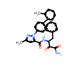 Cc1cc(C(=O)NC(Cc2ccccc2)C(=O)C(N)=O)n(-c2ccc(-c3ccccc3C)cc2)n1